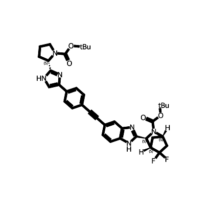 CC(C)(C)OC(=O)N1CCC[C@H]1c1nc(-c2ccc(C#Cc3ccc4[nH]c([C@@H]5[C@@H]6C[C@@H](CC6(F)F)N5C(=O)OC(C)(C)C)nc4c3)cc2)c[nH]1